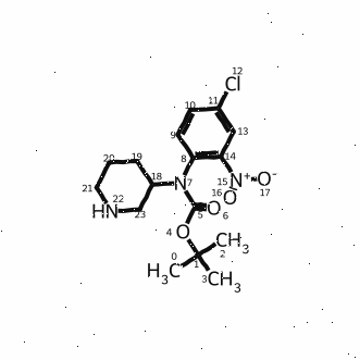 CC(C)(C)OC(=O)N(c1ccc(Cl)cc1[N+](=O)[O-])C1CCCNC1